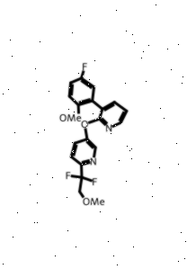 COCC(F)(F)c1ccc(Oc2ncccc2-c2cc(F)ccc2OC)cn1